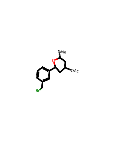 CSC1CC(OC(C)=O)CC(c2cccc(CBr)c2)O1